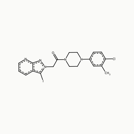 Cc1cc(N2CCN(C(=O)Cn3nc4ncccc4c3I)CC2)ccc1Cl